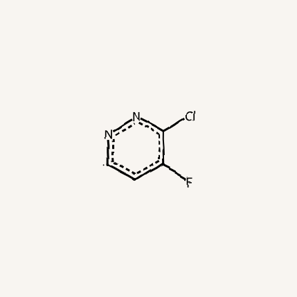 Fc1c[c]nnc1Cl